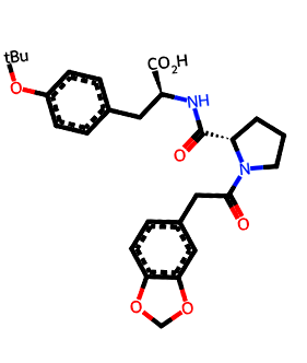 CC(C)(C)Oc1ccc(C[C@H](NC(=O)[C@@H]2CCCN2C(=O)Cc2ccc3c(c2)OCO3)C(=O)O)cc1